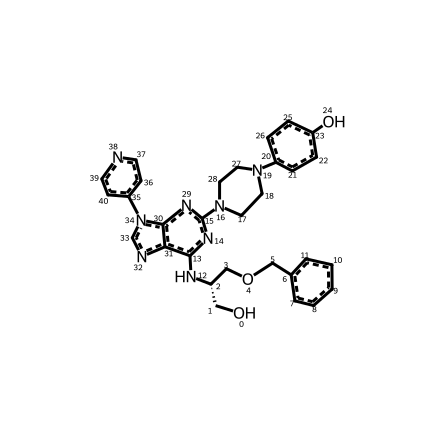 OC[C@@H](COCc1ccccc1)Nc1nc(N2CCN(c3ccc(O)cc3)CC2)nc2c1ncn2-c1ccncc1